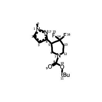 Cn1ccc(C2CN(C(=O)OC(C)(C)C)CCC2(F)F)n1